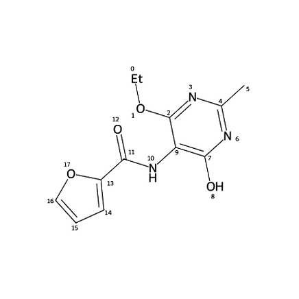 CCOc1nc(C)nc(O)c1NC(=O)c1ccco1